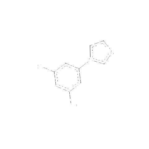 Oc1cc(O)cc(-n2ccnc2)c1